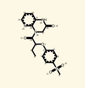 CCC(Oc1ccc(S(C)(=O)=O)cc1)C(=O)N1CC(=O)Nc2cccnc21